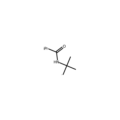 [CH2]C(C)(C)NC(=O)C(C)C